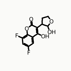 O=c1oc2c(F)cc(F)cc2c(O)c1C1CCOC1O